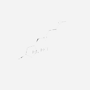 COCCOC[C@@H]1C[C@H](F)CN1.Cl